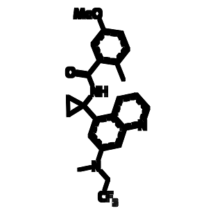 COc1ccc(C)c(C(=O)NC2(c3cc(N(C)CC(F)(F)F)cc4ncccc34)CC2)c1